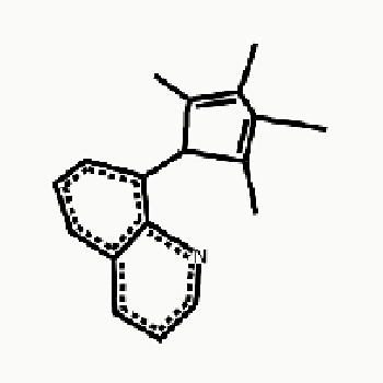 CC1=C(C)C(C)=C(C)[C]1c1cccc2cccnc12